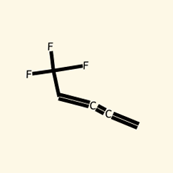 C=C=C=CC(F)(F)F